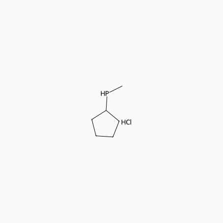 CPC1CCCC1.Cl